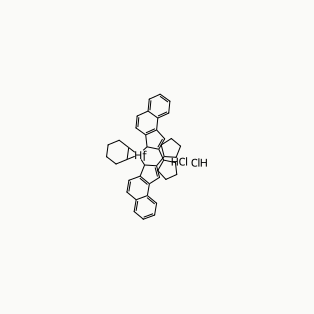 C1=C(C2CCCC2)[CH]([Hf]2([CH]3C(C4CCCC4)=Cc4c3ccc3ccccc43)[CH]3CCCC[CH]32)c2ccc3ccccc3c21.Cl.Cl